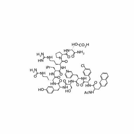 CC(=O)N[C@H](Cc1ccc2ccccc2c1)C(=O)N[C@H](Cc1ccc(Cl)cc1)C(=O)N[C@H](Cc1cccnc1)C(=O)N[C@@H](CO)C(=O)N[C@@H](Cc1ccc(O)cc1)C(=O)N[C@H](CCCNC(N)=O)C(=O)N[C@@H](CC(C)C)C(=O)N[C@@H](CCCNC(=N)N)C(=O)N1CCC[C@H]1C(=O)N[C@H](C)C(N)=O.O=C(O)O